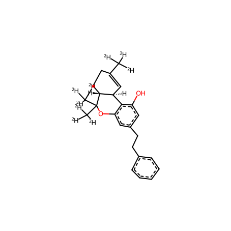 [2H]C([2H])([2H])C1=C[C@H]2c3c(O)cc(CCc4ccccc4)cc3OC(C([2H])([2H])[2H])(C([2H])([2H])[2H])[C@@H]2CC1